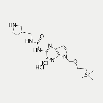 C[Si](C)(C)CCOCn1ccc2nc(NC(=O)NCC3CCNC3)cnc21.Cl.Cl